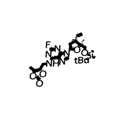 C=C[C@H]1C[C@H](n2cnc3c(NCc4oc(=O)oc4C)nc(F)nc32)O[C@]1(C)CO[Si](C)(C)C(C)(C)C